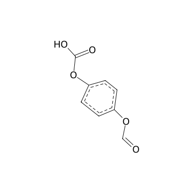 O=COc1ccc(OC(=O)O)cc1